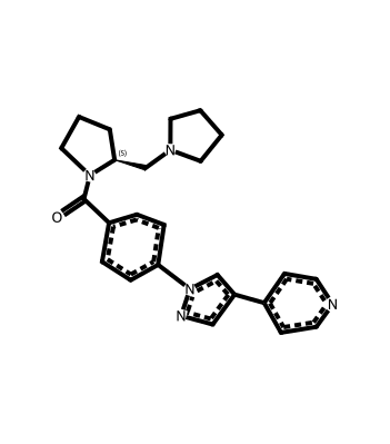 O=C(c1ccc(-n2cc(-c3ccncc3)cn2)cc1)N1CCC[C@H]1CN1CCCC1